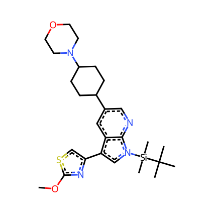 COc1nc(-c2cn([Si](C)(C)C(C)(C)C)c3ncc(C4CCC(N5CCOCC5)CC4)cc23)cs1